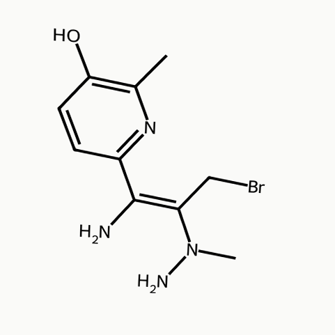 Cc1nc(/C(N)=C(\CBr)N(C)N)ccc1O